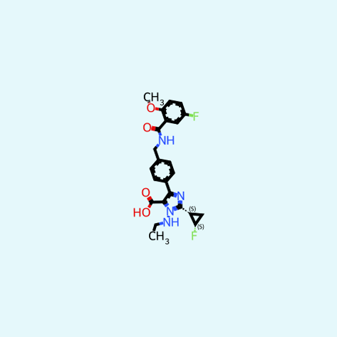 CCNn1c([C@@H]2C[C@@H]2F)nc(-c2ccc(CNC(=O)c3cc(F)ccc3OC)cc2)c1C(=O)O